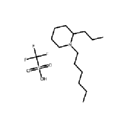 CCCCCCN1CCCCC1CCC.O=S(=O)(O)C(F)(F)F